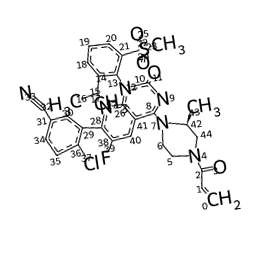 C=CC(=O)N1CCN(c2nc(=O)n(-c3c(C(C)C)cccc3S(C)(=O)=O)c3nc(-c4cc(C#N)ccc4Cl)c(F)cc23)[C@@H](C)C1